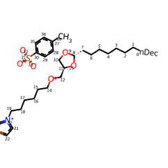 CCCCCCCCCCCCCCCCC[C@H]1OC[C@H](COCCCCCC[n+]2ccsc2)O1.Cc1ccc(S(=O)(=O)[O-])cc1